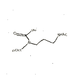 CCCCCCCCN(CCCNC(C)=O)C(=O)C(C)(C)C